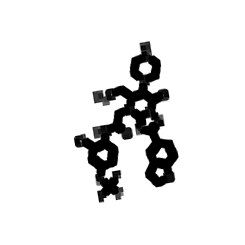 CCc1c(N2CCNCC2)c(=O)n2nc(-c3ccc4c(c3)CCO4)nc2n1CC(=O)Nc1ccc(SC(F)(F)F)cc1Cl